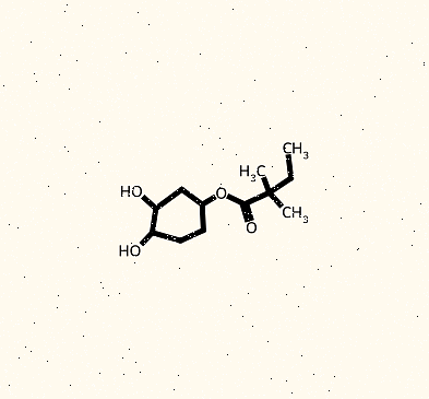 CCC(C)(C)C(=O)OC1CCC(O)C(O)C1